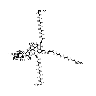 CCCCCCCCCCCCCCCCCCCCCCCC#CCCc1ccccc1N=C(C#CCCCCCCCCCCCCCCCCCCCCCCCC)C(CCCCCCCC)=Nc1ccccc1CCC#CCCCCCCCCCCCCCCCCCCCCCCC.CCCCc1ccc(O)c(O)c1C(=O)[O-].CCCCc1ccc(O)c(O)c1C(=O)[O-].[Pd+2]